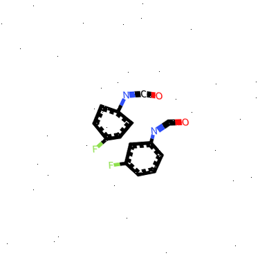 O=C=Nc1ccc(F)cc1.O=C=Nc1cccc(F)c1